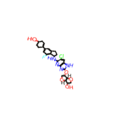 OC1CC=C(c2cc(F)c3c(c2)CCC3Nc2nc3nc(O[C@@H]4CO[C@H]5[C@@H]4OC[C@H]5O)[nH]c3cc2Cl)CC1